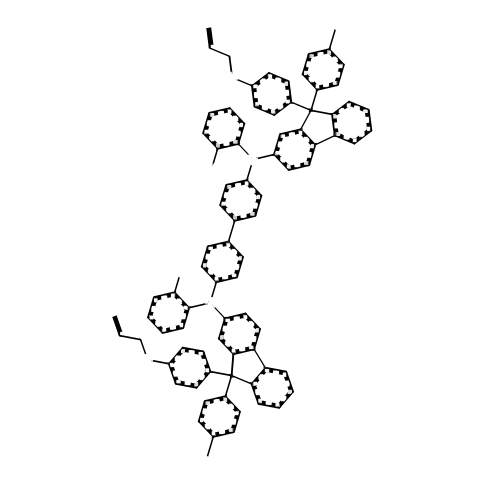 C=CCOc1ccc(C2(c3ccc(C)cc3)c3ccccc3-c3ccc(N(c4ccc(-c5ccc(N(c6ccc7c(c6)C(c6ccc(C)cc6)(c6ccc(OCC=C)cc6)c6ccccc6-7)c6ccccc6F)cc5)cc4)c4ccccc4F)cc32)cc1